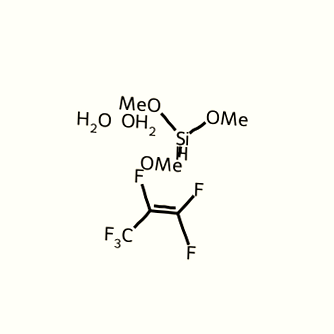 CO[SiH](OC)OC.FC(F)=C(F)C(F)(F)F.O.O